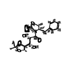 CC1(C)OCC([C@@H](O)[C@H](Cl)C(=O)N2C(=O)OCC2Cc2ccccc2)O1